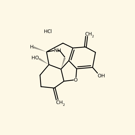 C=C1CC(O)=C2OC3C(=C)CC[C@@]4(O)[C@H]5CC1=C2[C@@]34CCN5.Cl